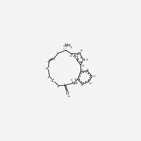 N[C@H]1C/C=C/CCCCC(=O)Nc2ccccc2-c2nnc1o2